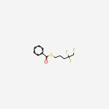 O=C(SCCCC(F)(F)CF)c1ccccc1